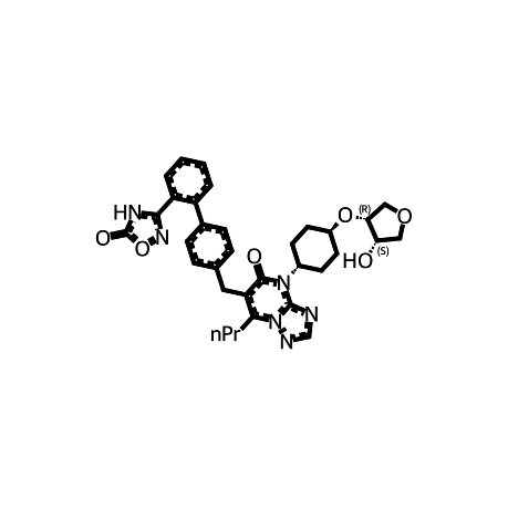 CCCc1c(Cc2ccc(-c3ccccc3-c3noc(=O)[nH]3)cc2)c(=O)n([C@H]2CC[C@H](O[C@@H]3COC[C@@H]3O)CC2)c2ncnn12